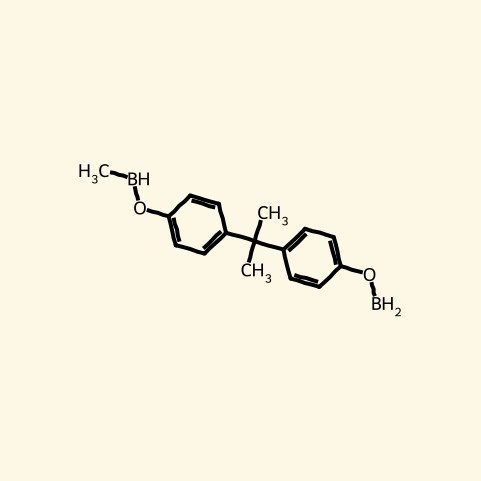 BOc1ccc(C(C)(C)c2ccc(OBC)cc2)cc1